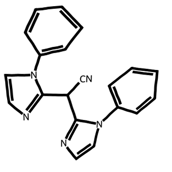 N#CC(c1nccn1-c1ccccc1)c1nccn1-c1ccccc1